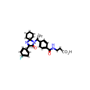 CCCC(c1ccc(C(=O)NCCC(=O)O)cc1)N1C(=O)C(c2ccc(F)cc2)=NC12CCCCC2